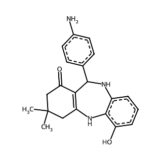 CC1(C)CC(=O)C2=C(C1)Nc1c(O)cccc1NC2c1ccc(N)cc1